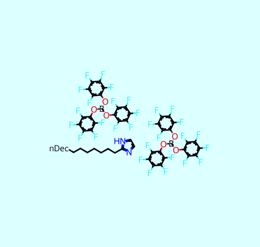 CCCCCCCCCCCCCCCCCc1ncc[nH]1.Fc1c(F)c(F)c(OB(Oc2c(F)c(F)c(F)c(F)c2F)Oc2c(F)c(F)c(F)c(F)c2F)c(F)c1F.Fc1c(F)c(F)c(OB(Oc2c(F)c(F)c(F)c(F)c2F)Oc2c(F)c(F)c(F)c(F)c2F)c(F)c1F